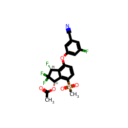 CC(=O)O[C@H]1c2c(S(C)(=O)=O)ccc(Oc3cc(F)cc(C#N)c3)c2[C@@H](F)C1(F)F